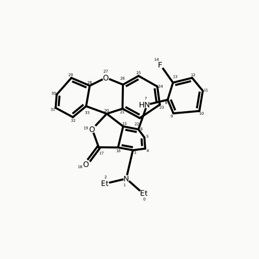 CCN(CC)c1ccc(Nc2ccccc2F)c2c1C(=O)OC21c2ccccc2Oc2ccccc21